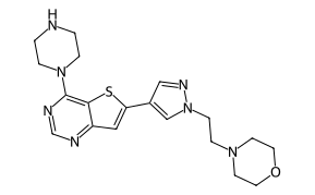 c1nc(N2CCNCC2)c2sc(-c3cnn(CCN4CCOCC4)c3)cc2n1